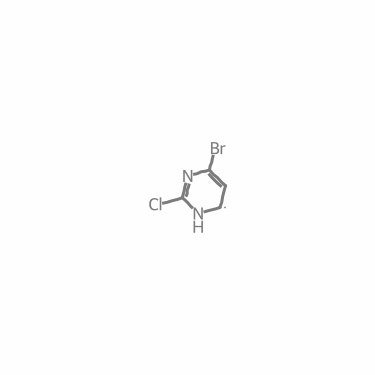 ClC1=NC(Br)=C[CH]N1